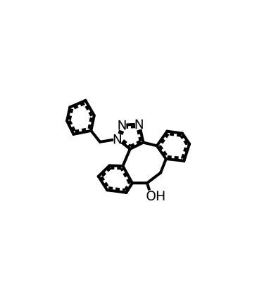 OC1Cc2ccccc2-c2nnn(Cc3ccccc3)c2-c2ccccc21